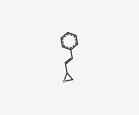 C(=C\C1CO1)/c1ccccc1